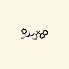 CCCC[N+]1=C(/C=C/C(C)=C/N(C(C)=O)c2ccccc2)C(C)(C)c2c1ccc1ccccc21